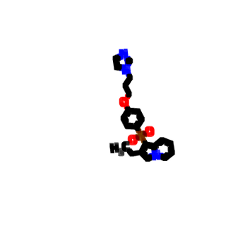 CCc1cn2ccccc2c1S(=O)(=O)c1ccc(OCCCn2ccnc2)cc1